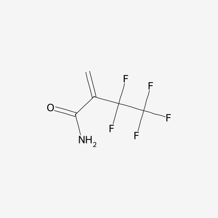 C=C(C(N)=O)C(F)(F)C(F)(F)F